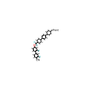 CCCCCC1CCC(c2ccc(C3CCC(C(F)(F)Oc4ccc(-c5ccc(C#N)c(F)c5)c(F)c4)CC3)cc2)CC1